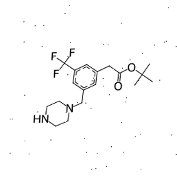 CC(C)(C)OC(=O)Cc1cc(CN2CCNCC2)cc(C(F)(F)F)c1